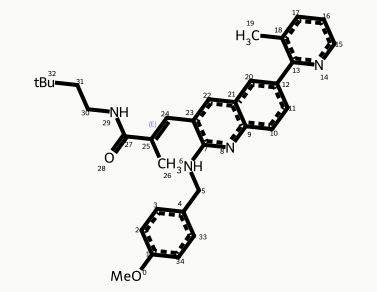 COc1ccc(CNc2nc3ccc(-c4ncccc4C)cc3cc2/C=C(\C)C(=O)NCCC(C)(C)C)cc1